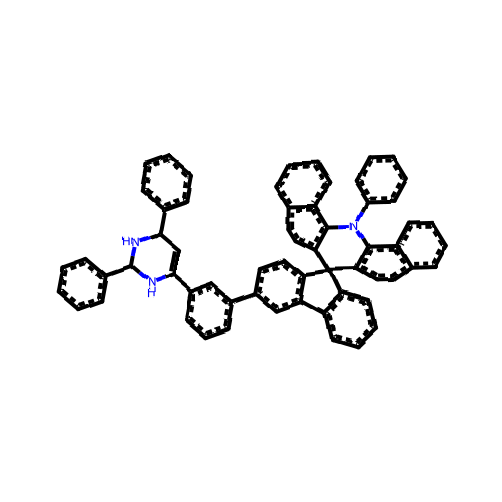 C1=C(c2cccc(-c3ccc4c(c3)-c3ccccc3C43c4ccc5ccccc5c4N(c4ccccc4)c4c3ccc3ccccc43)c2)NC(c2ccccc2)NC1c1ccccc1